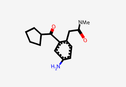 CNC(=O)Cc1ccc(N)cc1C(=O)C1CCCC1